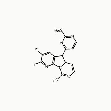 CSc1nccc(C2c3cc(F)c(I)nc3N3C(S)=NC=CC23)n1